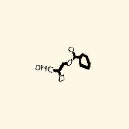 O=CC(Cl)=COC(=O)c1ccccc1